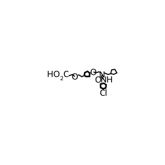 O=C(O)CCOCCc1ccc(OCCN(CCC2CCCC2)C(=O)Nc2ccc(Cl)cc2)cc1